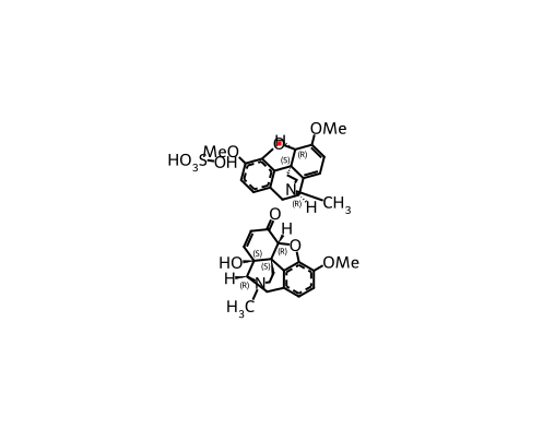 COC1=CC=C2[C@H]3Cc4ccc(OC)c5c4[C@@]2(CCN3C)[C@H]1O5.COc1ccc2c3c1O[C@H]1C(=O)C=C[C@@]4(O)[C@@H](C2)N(C)CC[C@]314.O=S(=O)(O)O